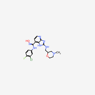 CN1CCOC(CNc2nc3nccc(/C(=N\O)Nc4ccc(F)c(Cl)c4)c3[nH]2)C1